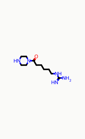 N=C(N)NCCCCCC(=O)N1CCNCC1